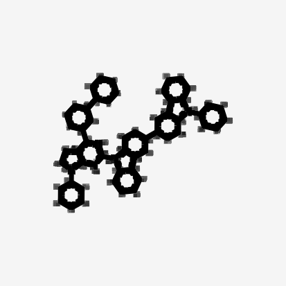 c1ccc(-c2cccc(-c3nc(-n4c5ccccc5c5cc(-c6ccc7c(c6)c6ccccc6n7-c6ccccc6)ccc54)nc4c3ccn4-c3ccccc3)c2)cc1